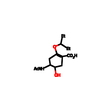 CCC(CC)OC1=C(C(=O)O)CC(O)C(NC(C)=O)C1